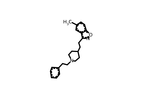 Cc1ccc2onc(CCC3CCN(CCc4ccccc4)CC3)c2c1